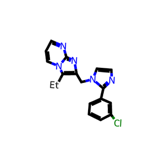 CCc1c(Cn2ccnc2-c2cccc(Cl)c2)nc2ncccn12